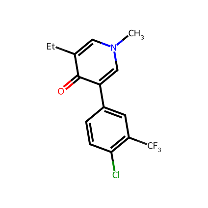 CCc1cn(C)cc(-c2ccc(Cl)c(C(F)(F)F)c2)c1=O